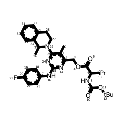 Cc1c(COC(=O)C(NC(=O)OC(C)(C)C)C(C)C)nc(Nc2ccc(F)cc2)nc1N1CCc2ccccc2C1C